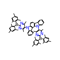 Cc1cc(C)c(B(c2nc(C)c(-n3c4ccccc4c4c3ccc3c5ccccc5n(-c5c(C)nc(B(c6c(C)cc(C)cc6C)c6c(C)cc(C)cc6C)nc5C)c34)c(C)n2)c2c(C)cc(C)cc2C)c(C)c1